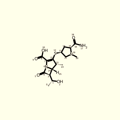 C[C@@H](O)[C@H]1C(=O)N2C(C(=O)O)=C(S[C@H]3C[C@@H](C(N)=O)N(C)C3)[C@H](C)[C@H]12